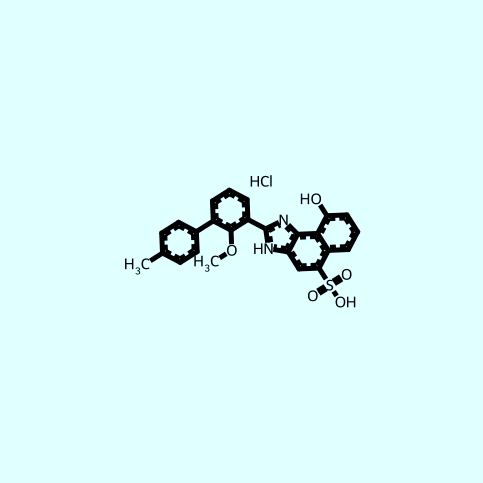 COc1c(-c2ccc(C)cc2)cccc1-c1nc2c(cc(S(=O)(=O)O)c3cccc(O)c32)[nH]1.Cl